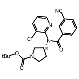 CC(C)(C)OC(=O)N1CC[C@@H](N(C(=O)c2cccc(C#N)c2)c2ncccc2Cl)C1